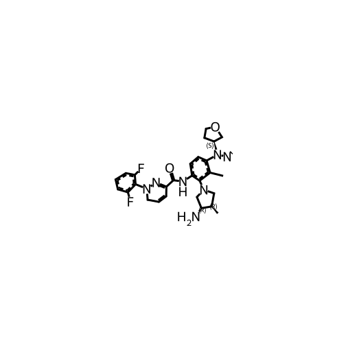 C=NN(c1ccc(NC(=O)C2=NN(c3c(F)cccc3F)CC=C2)c(N2C[C@@H](C)[C@@H](N)C2)c1C)[C@H]1CCOC1